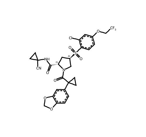 N#CC1(NC(=O)[C@@H]2C[C@@H](S(=O)(=O)c3ccc(OCC(F)(F)F)cc3Cl)CN2C(=O)C2(c3ccc4c(c3)OCO4)CC2)CC1